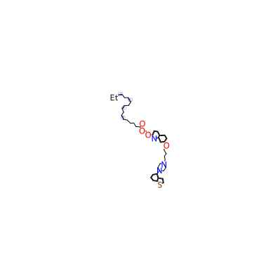 CC/C=C\C/C=C\C/C=C\C/C=C\CCCCC(=O)OCOc1ccc2ccc(OCCCCN3CCN(c4cccc5sccc45)CC3)cc2n1